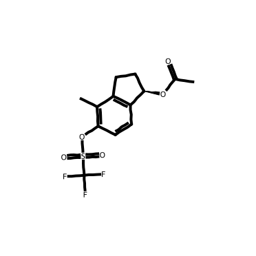 CC(=O)O[C@@H]1CCc2c1ccc(OS(=O)(=O)C(F)(F)F)c2C